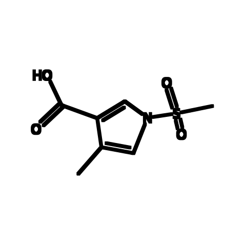 Cc1cn(S(C)(=O)=O)cc1C(=O)O